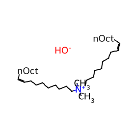 CCCCCCCC/C=C\CCCCCCCC[N+](C)(C)CCCCCCCC/C=C\CCCCCCCC.[OH-]